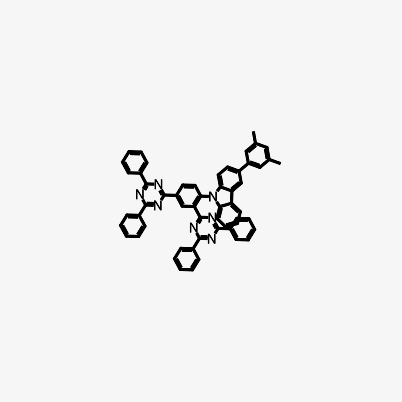 Cc1cc(C)cc(-c2ccc3c(c2)c2ccccc2n3-c2ccc(-c3nc(-c4ccccc4)nc(-c4ccccc4)n3)cc2-c2nc(-c3ccccc3)nc(-c3ccccc3)n2)c1